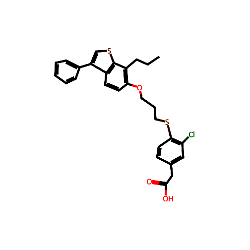 CCCc1c(OCCCSc2ccc(CC(=O)O)cc2Cl)ccc2c(-c3ccccc3)csc12